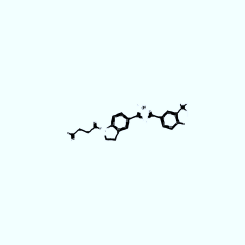 O=C(O)CCC(=O)N1CCc2cc(-c3noc(-c4ccc(Cl)c(C(F)(F)F)c4)n3)ccc21